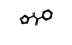 O=C(Nc1ccsc1)c1ccccc1